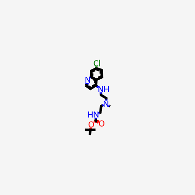 CN(CCNC(=O)OC(C)(C)C)CCNc1ccnc2cc(Cl)ccc12